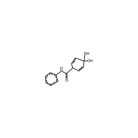 O=C(Nc1ccccc1)C1C=CC(O)(O)C=C1